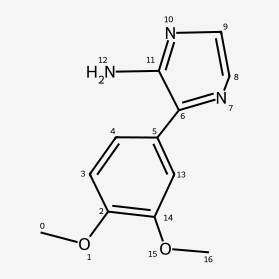 COc1ccc(-c2nccnc2N)cc1OC